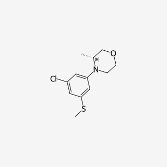 CSc1cc(Cl)cc(N2CCOC[C@H]2C)c1